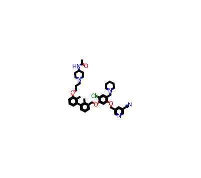 CC(=O)NC1CCN(CCCOc2cccc(-c3cccc(COc4cc(OCc5cncc(C#N)c5)c(CN5CCCCC5)cc4Cl)c3C)c2C)CC1